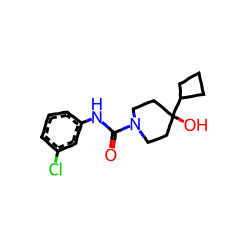 O=C(Nc1cccc(Cl)c1)N1CCC(O)(C2CCC2)CC1